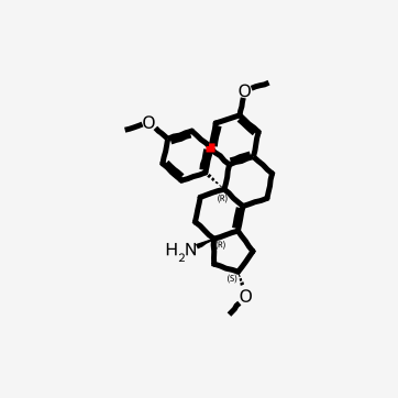 COc1ccc([C@@]23CC[C@@]4(N)C[C@@H](OC)CC4=C2CCc2cc(OC)ccc23)cc1